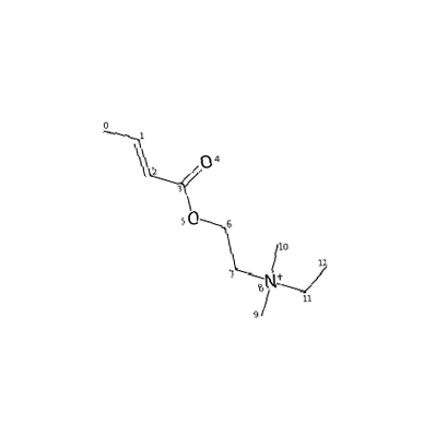 CC=CC(=O)OCC[N+](C)(C)CC